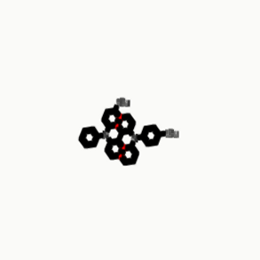 CC(C)(C)c1ccc(N(c2ccccc2)c2ccccc2-c2ccccc2N(c2ccccc2)c2ccc(C(C)(C)C)cc2)cc1